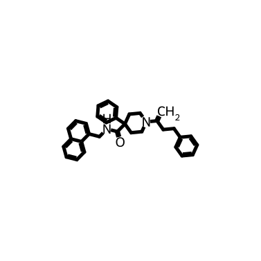 C=C(CCc1ccccc1)N1CCC(C(=O)NCc2cccc3ccccc23)(c2ccccc2)CC1